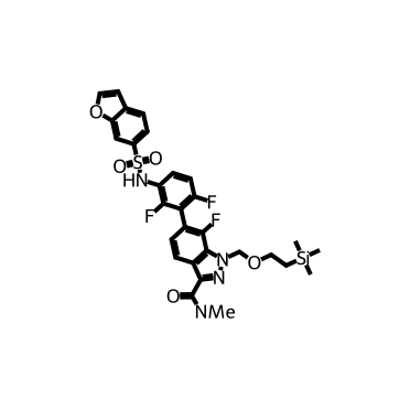 CNC(=O)c1nn(COCC[Si](C)(C)C)c2c(F)c(-c3c(F)ccc(NS(=O)(=O)c4ccc5ccoc5c4)c3F)ccc12